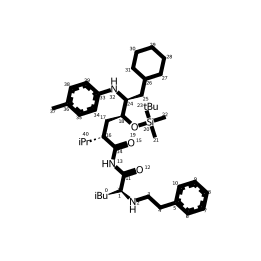 CC[C@H](C)[C@H](NCCc1ccccc1)C(=O)NC(=O)[C@@H](C[C@H](O[Si](C)(C)C(C)(C)C)[C@H](CC1CCCCC1)Nc1ccc(C)cc1)C(C)C